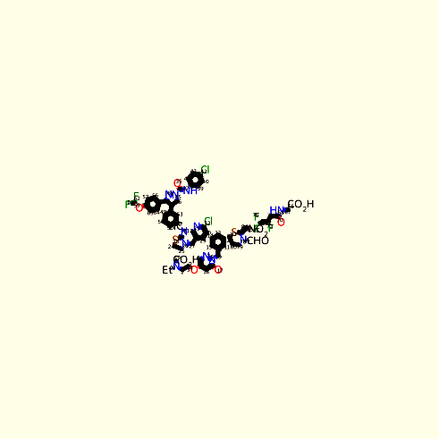 CCN(CCOc1cnn(Cc2ccccc2)c(=O)c1)C(=O)O.N#CN=C1SCCN1Cc1ccc(Cl)nc1.O=C(Nc1ccc(Cl)cc1)N1CC(c2ccccc2)C(c2ccc(OC(F)F)cc2)=N1.O=C(O)CNC(=O)CC(F)=C(F)F.O=CN1CCCSC1=C[N+](=O)[O-]